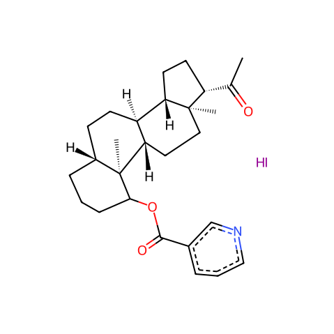 CC(=O)[C@H]1CC[C@H]2[C@@H]3CC[C@H]4CCCC(OC(=O)c5cccnc5)[C@]4(C)[C@H]3CC[C@]12C.I